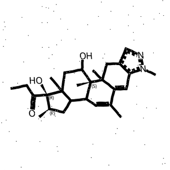 CCC(=O)[C@@]1(O)[C@H](C)CC2C3C=C(C)C4=Cc5c(cnn5C)CC4(C)[C@@]3(C)C(O)CC21C